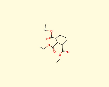 CCOC(=O)C1CCCC(C(=O)OCC)C1C(=O)OCC